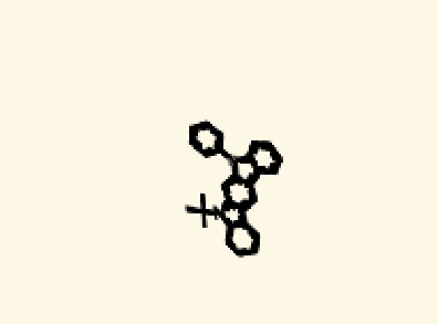 CC(C)(C)n1c2ccccc2c2cc3c4ccccc4n(-c4ccccc4)c3cc21